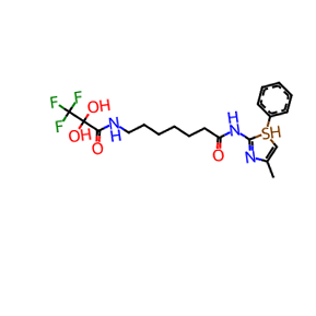 CC1=C[SH](c2ccccc2)C(NC(=O)CCCCCCNC(=O)C(O)(O)C(F)(F)F)=N1